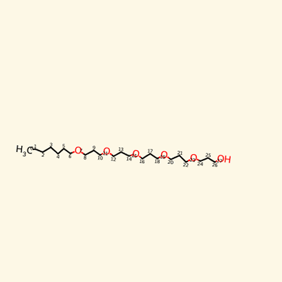 CCCCCCCOCCCOCCCOCCCOCCCOCCCO